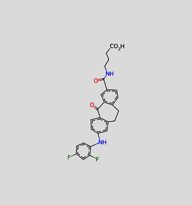 O=C(O)CCCNC(=O)c1ccc2c(c1)C(=O)c1ccc(Nc3ccc(F)cc3F)cc1CC2